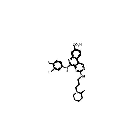 CC1CCCCN1CCCNc1ncc2c(n1)c(Nc1ccc(F)c(Cl)c1)nc1cc(C(=O)O)ccc12